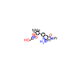 CCCN(CCC)C(=O)C1=Cc2ccc(-c3ccc(CNC)c(S(=O)(=O)N4CC(CO)C4)c3)cc2N=C(N)C1